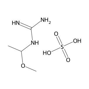 COC(C)NC(=N)N.O=S(=O)(O)O